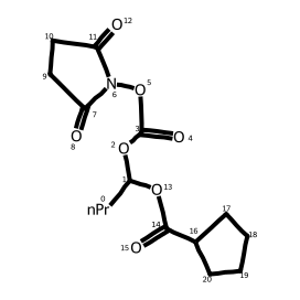 CCCC(OC(=O)ON1C(=O)CCC1=O)OC(=O)C1CCCC1